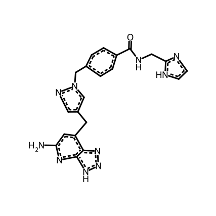 Nc1cc(Cc2cnn(Cc3ccc(C(=O)NCc4ncc[nH]4)cc3)c2)c2nn[nH]c2n1